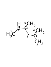 C=C(C)CC(=C)BC